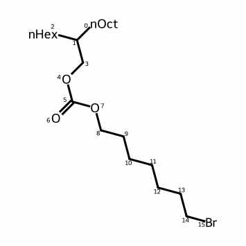 CCCCCCCCC(CCCCCC)COC(=O)OCCCCCCCBr